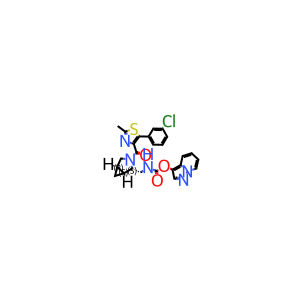 Cc1nc(C(=O)N2C[C@@H]3C[C@@H]3[C@H]2CNC(=O)Oc2cnn3ccccc23)c(-c2cccc(Cl)c2)s1